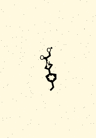 CCc1ccc(C2CN(C(=O)COC)C2)cc1